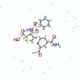 CC(=O)c1cccc(C(N)=O)c1.O=C(O)c1sccc1NS(=O)(=O)c1ccccc1